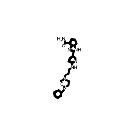 NC(=O)c1cccc2[nH]c(-c3ccc(NCCCN4CCN(Cc5ccccc5)CC4)nc3)nc12